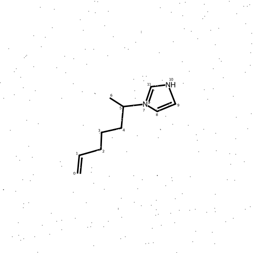 C=CCCCC(C)[n+]1cc[nH]c1